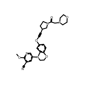 COc1ncc(N2CCOc3ccc(OC#CC4CCN(C(=O)CN5CCOCC5)C4)cc32)cc1C#N